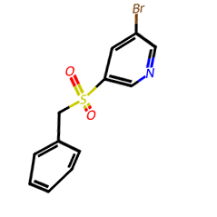 O=S(=O)(Cc1ccccc1)c1cncc(Br)c1